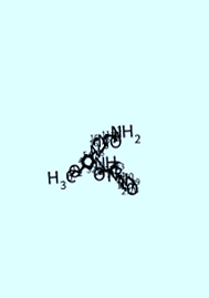 COCc1ccc(N2CCN(CC(N)=O)CC2)c(NC(=O)c2csc(N3CCOCC3)n2)c1